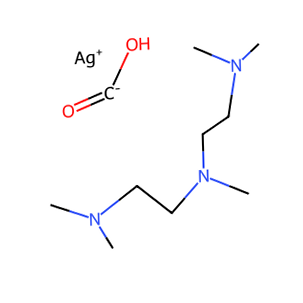 CN(C)CCN(C)CCN(C)C.O=[C-]O.[Ag+]